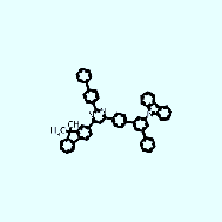 CC1(C)c2ccccc2-c2ccc(-c3cc(-c4ccc(-c5cc(-c6ccccc6)cc(-n6c7ccccc7c7ccccc76)c5)cc4)nc(-c4ccc(-c5ccccc5)cc4)n3)cc21